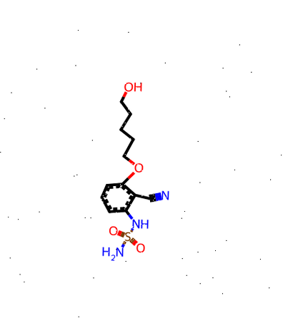 N#Cc1c(NS(N)(=O)=O)cccc1OCCCCCO